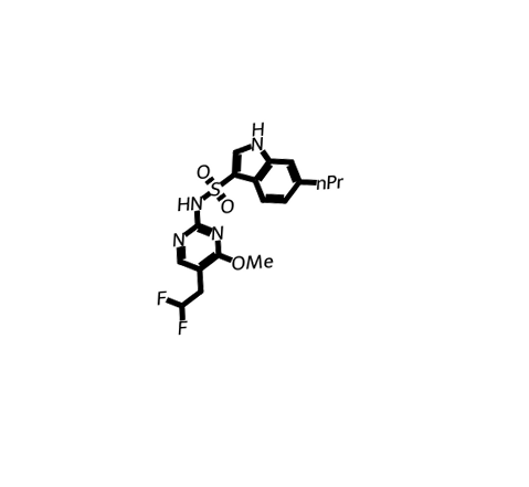 CCCc1ccc2c(S(=O)(=O)Nc3ncc(CC(F)F)c(OC)n3)c[nH]c2c1